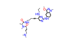 CCCNc1nc(Nc2ccc3c(c2)c(OC)nn3C)ncc1C#CCCCNC(=O)[C@H](C)N(C)C(=O)/C=C/CN(C)C